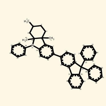 CC1CCC2(C)c3cc(-c4ccc5c(c4)-c4ccccc4C5(c4ccccc4)c4ccccc4)ccc3N(c3ccccc3)C2(C)C1